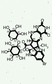 C[C@@]1(O)C2=Nc3c([nH]c(=O)[nH]c3=O)NC[C@H]2[C@H](C(=O)O[C@@H]2[C@@H](O)[C@@H](O)[C@@H](O)[C@H](O)[C@H]2O[C@@H]2OC[C@@H](O)[C@H](O)[C@H]2O)[C@]12C(=O)Nc1cc(Br)ccc12